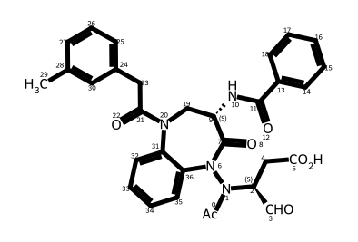 CC(=O)N([C@H](C=O)CC(=O)O)N1C(=O)[C@@H](NC(=O)c2ccccc2)CN(C(=O)Cc2cccc(C)c2)c2ccccc21